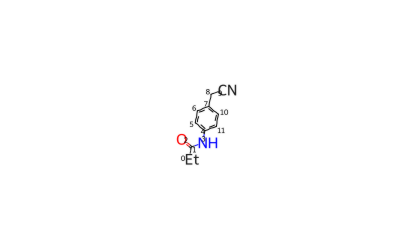 CCC(=O)Nc1ccc(CC#N)cc1